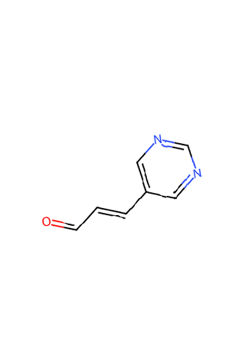 O=CC=Cc1cncnc1